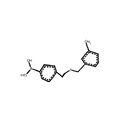 Cc1cccc(CSCc2ccc(B(O)O)cc2)c1